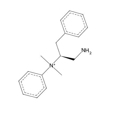 C[N+](C)(c1ccccc1)[C@H](CN)Cc1ccccc1